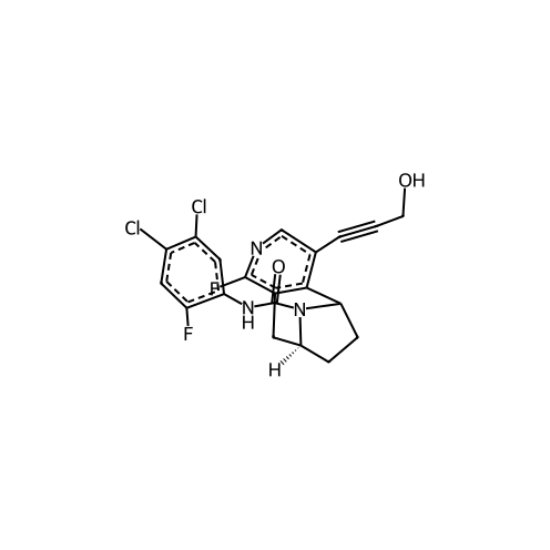 O=C(Nc1cc(Cl)c(Cl)cc1F)N1C2CC[C@H]1Cc1c(F)ncc(C#CCO)c12